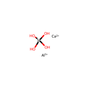 O[Si](O)(O)O.[Al+3].[Ca+2]